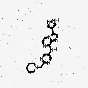 c1cn2c(-c3cn[nH]c3)cnc2c(Nc2cnc(CN3CCCCC3)nc2)n1